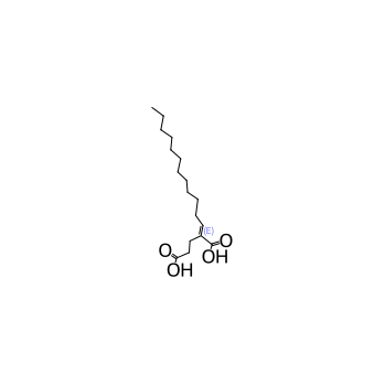 CCCCCCCCCCC/C=C(\CCC(=O)O)C(=O)O